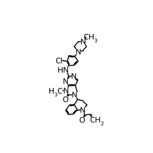 C=CC(=O)N1CCC(N2Cc3cnc(Nc4ccc(N5CCN(C)CC5)cc4Cl)nc3N(C)C2=O)c2ccccc21